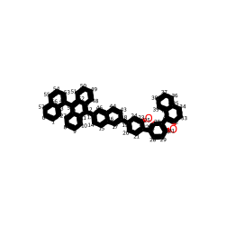 c1ccc2c(-c3c4ccccc4c(-c4ccc5cc(-c6ccc7c(c6)oc6c7ccc7oc8ccc9ccccc9c8c76)ccc5c4)c4ccccc34)cccc2c1